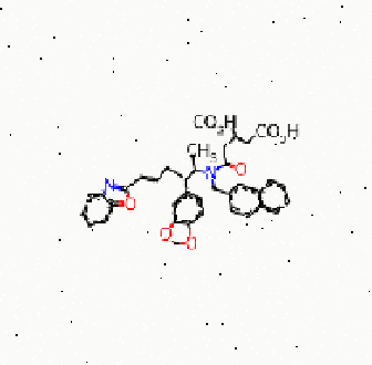 CC(C(C/C=C/c1nc2ccccc2o1)c1ccc2c(c1)OCO2)N(Cc1ccc2ccccc2c1)C(=O)C[C@H](CC(=O)O)C(=O)O